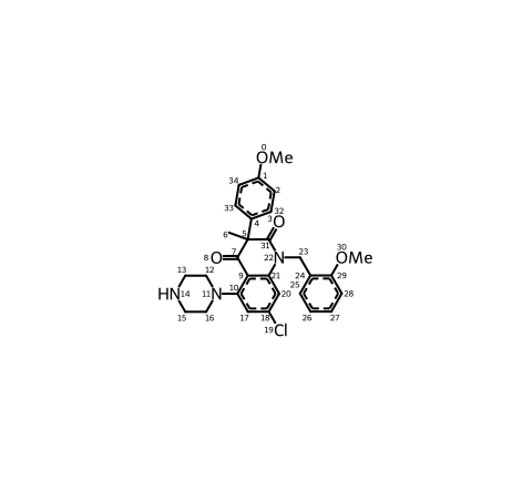 COc1ccc(C2(C)C(=O)c3c(N4CCNCC4)cc(Cl)cc3N(Cc3ccccc3OC)C2=O)cc1